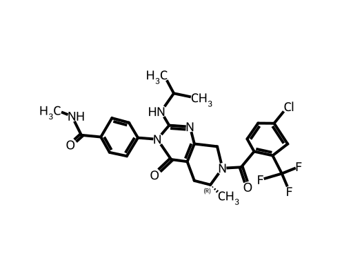 CNC(=O)c1ccc(-n2c(NC(C)C)nc3c(c2=O)C[C@@H](C)N(C(=O)c2ccc(Cl)cc2C(F)(F)F)C3)cc1